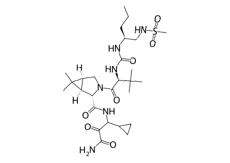 CCC[C@@H](CNS(C)(=O)=O)NC(=O)N[C@H](C(=O)N1C[C@H]2[C@@H]([C@H]1C(=O)NC(C(=O)C(N)=O)C1CC1)C2(C)C)C(C)(C)C